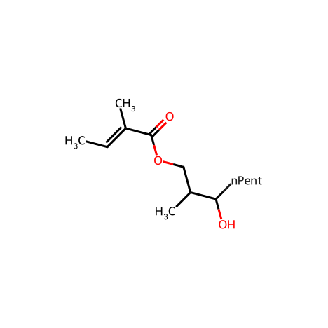 CC=C(C)C(=O)OCC(C)C(O)CCCCC